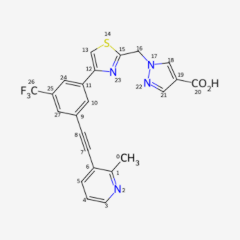 Cc1ncccc1C#Cc1cc(-c2csc(Cn3cc(C(=O)O)cn3)n2)cc(C(F)(F)F)c1